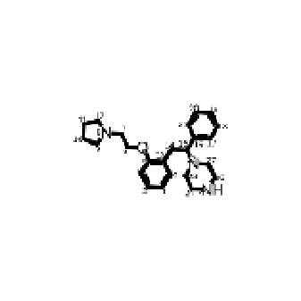 [c]1cccc(OCCN2CCCC2)c1CC(c1ccccc1)N1CCNCC1